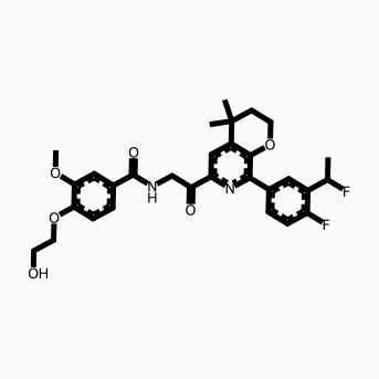 COc1cc(C(=O)NCC(=O)c2cc3c(c(-c4ccc(F)c(C(C)F)c4)n2)OCCC3(C)C)ccc1OCCO